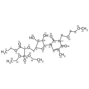 CCOC(=O)C(OCC1OC(n2cc(C)c(=O)n(COCCOC)c2=O)C(O)C1O)P(=O)(OCC)OCC